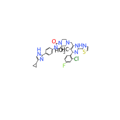 O=C(O)C1=C(CN2CCN3C(=O)N(c4ccc(-c5nc(C6CC6)c[nH]5)cc4)C[C@@H]3C2)NC(c2nccs2)=N[C@H]1c1ccc(F)cc1Cl